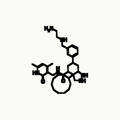 Cc1cc(C)c(CNC(=O)C2CC(c3cccc(CNCCN)c3)CC3NNCC32C2CCCCCCCCC2)c(=O)[nH]1